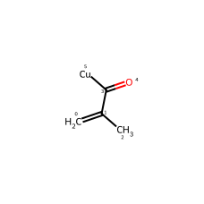 C=C(C)[C](=O)[Cu]